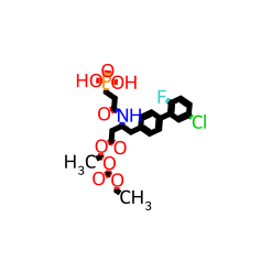 CCOC(=O)OC(C)OC(=O)CC(Cc1ccc(-c2cc(Cl)ccc2F)cc1)NC(=O)CCP(=O)(O)O